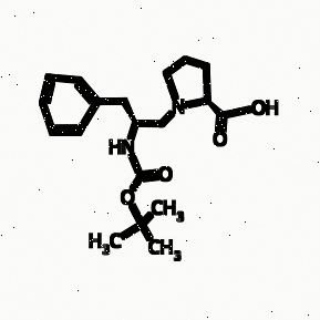 CC(C)(C)OC(=O)N[C@@H](Cc1ccccc1)CN1CCC[C@H]1C(=O)O